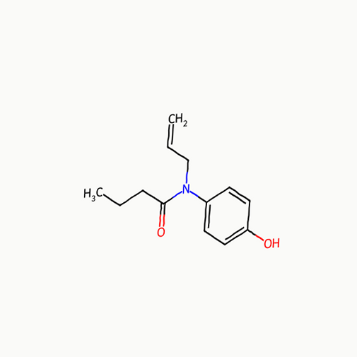 C=CCN(C(=O)CCC)c1ccc(O)cc1